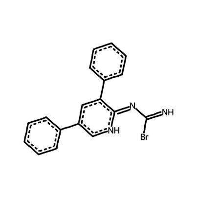 N=C(Br)/N=c1\[nH]cc(-c2ccccc2)cc1-c1ccccc1